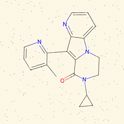 Cc1cccnc1-c1c2n(c3cccnc13)CCN(C1CC1)C2=O